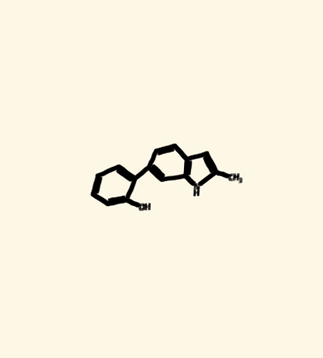 Cc1cc2ccc(-c3ccccc3O)cc2[nH]1